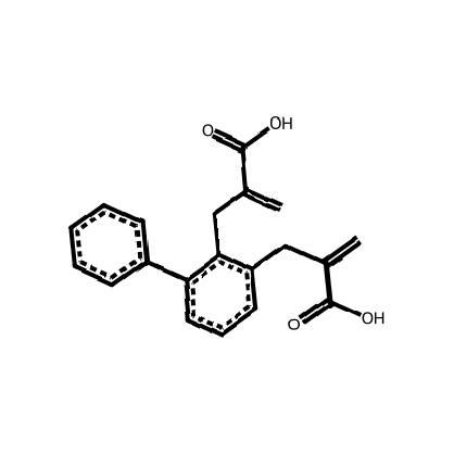 C=C(Cc1cccc(-c2ccccc2)c1CC(=C)C(=O)O)C(=O)O